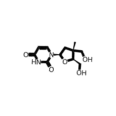 C[C@]1(CO)C[C@H](n2ccc(=O)[nH]c2=O)O[C@@H]1CO